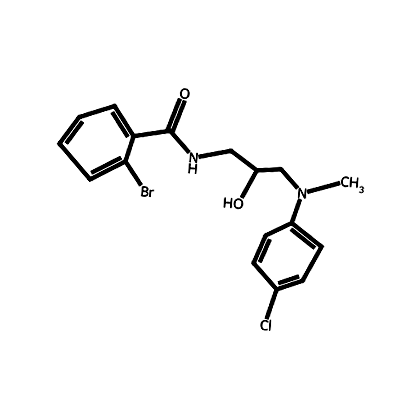 CN(CC(O)CNC(=O)c1ccccc1Br)c1ccc(Cl)cc1